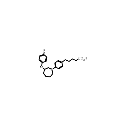 O=C(O)CCCCc1ccc(N2CCCCC(Oc3ccc(F)cc3)C2)cc1